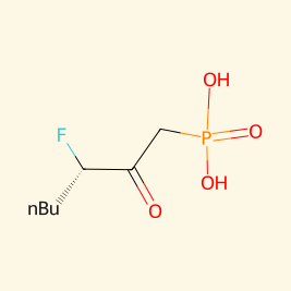 CCCC[C@H](F)C(=O)CP(=O)(O)O